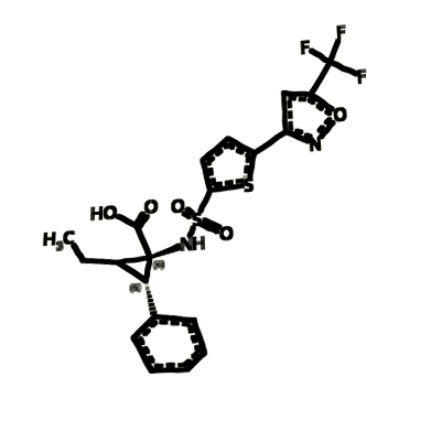 CCC1[C@@H](c2ccccc2)[C@@]1(NS(=O)(=O)c1ccc(-c2cc(C(F)(F)F)on2)s1)C(=O)O